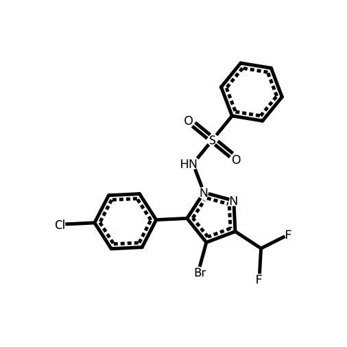 O=S(=O)(Nn1nc(C(F)F)c(Br)c1-c1ccc(Cl)cc1)c1ccccc1